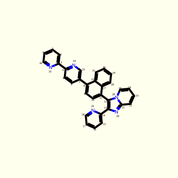 c1ccc(-c2ccc(-c3ccc(-c4c(-c5ccccn5)nc5ccccn45)c4ccccc34)cn2)nc1